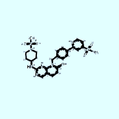 CS(=O)(=O)N1CCC(Nc2ncc3ccc(=O)n(Cc4ccc(-c5cc(S(N)(=O)=O)ccn5)cc4)c3n2)CC1